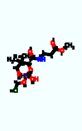 COC(=O)CCNC(=O)[C@@H]1O[PH](O)(OCCl)OCC1(C)C